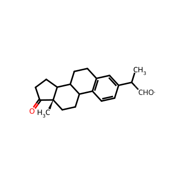 CC([C]=O)c1ccc2c(c1)CCC1C2CC[C@]2(C)C(=O)CCC12